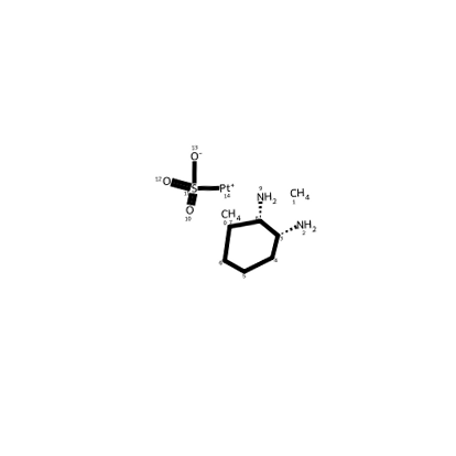 C.C.N[C@@H]1CCCC[C@@H]1N.O=[S](=O)([O-])[Pt+]